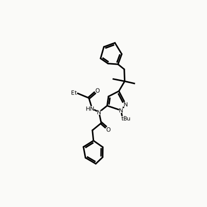 CCC(=O)NN(C(=O)Cc1ccccc1)c1cc(C(C)(C)Cc2ccccc2)nn1C(C)(C)C